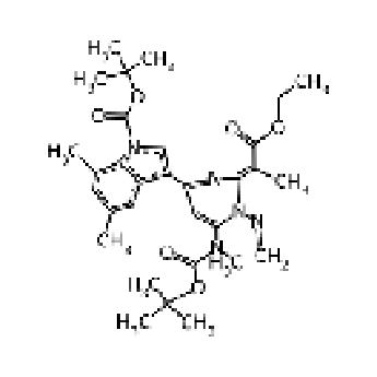 C=NN1C(N(C)C(=O)OC(C)(C)C)=CC(c2cn(C(=O)OC(C)(C)C)c3c(C)cc(C)cc23)=N/C1=C(/C)C(=O)OCC